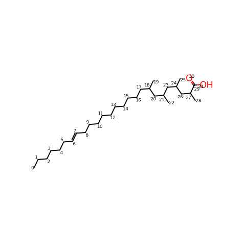 CCCCCCC=CCCCCCCCCCCC(C)CC(C)CC(C)CC(C)C(=O)O